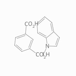 In1ccc2ccccc21.O=C(O)c1cccc(C(=O)O)c1